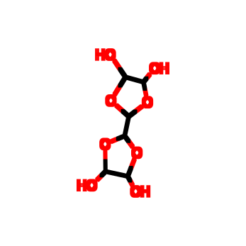 OC1OC(C2OC(O)C(O)O2)OC1O